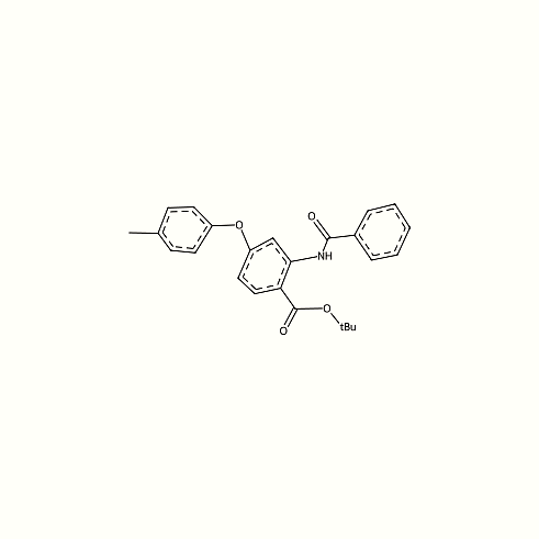 Cc1ccc(Oc2ccc(C(=O)OC(C)(C)C)c(NC(=O)c3ccccc3)c2)cc1